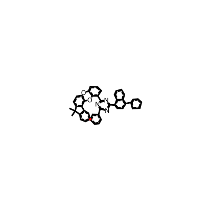 CC1(C)c2ccccc2-c2c1ccc1c2Oc2c(cccc2-c2nc(-c3ccccc3)nc(-c3ccc(-c4ccccc4)c4ccccc34)n2)O1